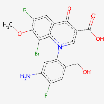 COc1c(F)cc2c(=O)c(C(=O)O)cn(-c3cc(N)c(F)cc3CO)c2c1Br